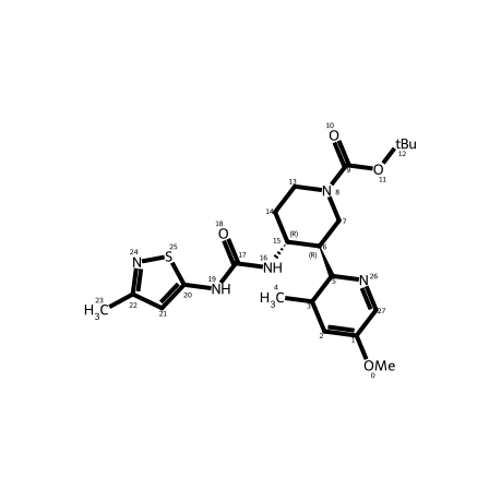 COC1=CC(C)C([C@@H]2CN(C(=O)OC(C)(C)C)CC[C@H]2NC(=O)Nc2cc(C)ns2)N=C1